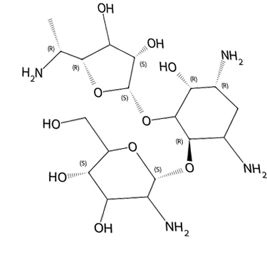 C[C@@H](N)[C@H]1O[C@@H](OC2[C@H](O[C@H]3OC(CO)[C@@H](O)C(O)C3N)C(N)C[C@@H](N)[C@H]2O)[C@@H](O)C1O